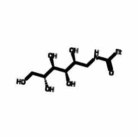 [CH2]CC(=O)NC[C@H](O)[C@@H](O)[C@H](O)[C@H](O)CO